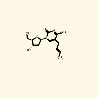 C/C=C/Cc1cn([C@H]2C[C@H](O)[C@@H](CO)O2)c(=O)nc1N